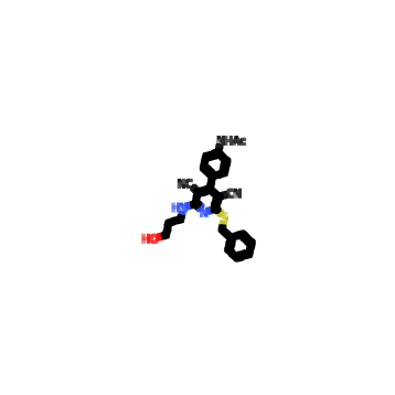 CC(=O)Nc1ccc(-c2c(C#N)c(NCCCO)nc(SCc3ccccc3)c2C#N)cc1